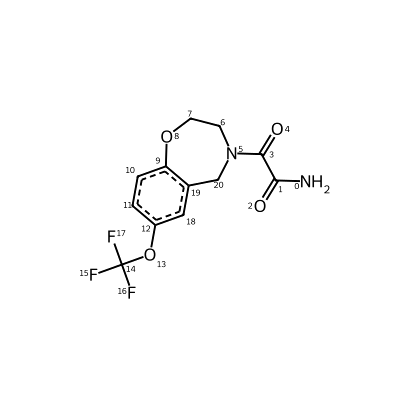 NC(=O)C(=O)N1CCOc2ccc(OC(F)(F)F)cc2C1